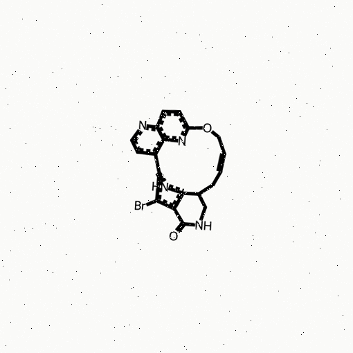 O=C1NCC2C/C=C\COc3ccc4nccc(c4n3)-c3[nH]c2c1c3Br